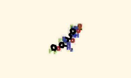 Cc1cc(Oc2cccc(F)c2F)cc(F)c1-n1ncc(C(=O)c2cc3cc(F)c(NS(C)(=O)=O)cc3[nH]2)c1N